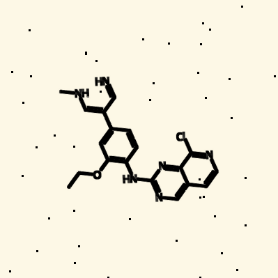 CCOc1cc(/C(C=N)=C/NC)ccc1Nc1ncc2ccnc(Cl)c2n1